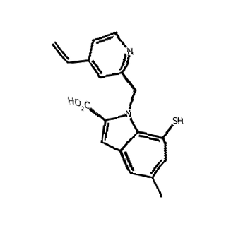 C=Cc1ccnc(Cn2c(C(=O)O)cc3cc(C)cc(S)c32)c1